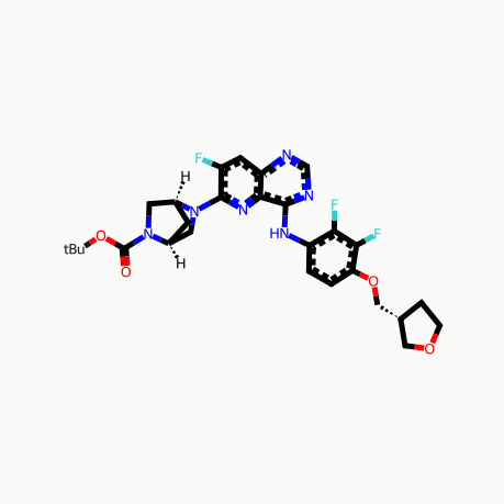 CC(C)(C)OC(=O)N1C[C@@H]2C[C@H]1CN2c1nc2c(Nc3ccc(OC[C@@H]4CCOC4)c(F)c3F)ncnc2cc1F